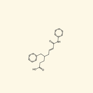 O=C(O)CCC(C/C=C/C(=O)Nc1ccccc1)Cc1ccccc1